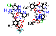 CC(=O)c1ccc(C(=O)Nc2cccnc2C(=O)Nc2ccc(Cl)cn2)c(OCCCN)c1.CC(=O)c1ccc(C(=O)Nc2cccnc2C(=O)Nc2ccc(Cl)cn2)c(OCCCNC(=O)OC(C)(C)C)c1.O=C(O)C(F)(F)F